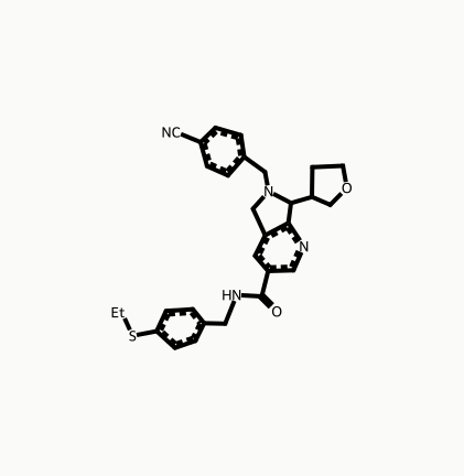 CCSc1ccc(CNC(=O)c2cnc3c(c2)CN(Cc2ccc(C#N)cc2)C3C2CCOC2)cc1